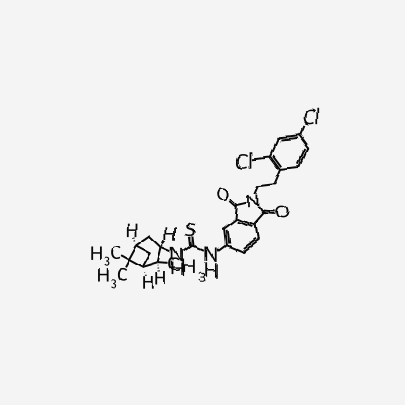 C[C@@H]1[C@@H](NC(=S)Nc2ccc3c(c2)C(=O)N(CCc2ccc(Cl)cc2Cl)C3=O)C[C@H]2C[C@@H]1C2(C)C